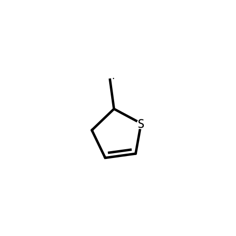 [CH2]C1CC=CS1